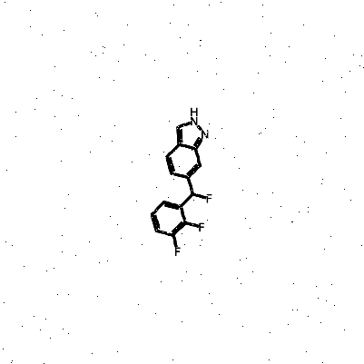 Fc1cccc(C(F)c2ccc3c[nH]nc3c2)c1F